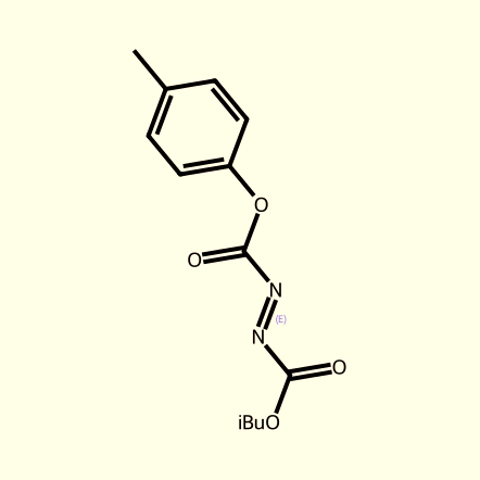 Cc1ccc(OC(=O)/N=N/C(=O)OCC(C)C)cc1